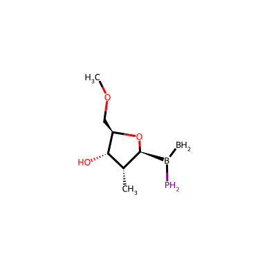 BB(P)[C@@H]1O[C@H](COC)[C@@H](O)[C@H]1C